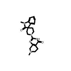 CN1CCc2c(nc(N3CCC4(CC3)C(=O)N(C)c3ccccc34)[nH]c2=O)C1